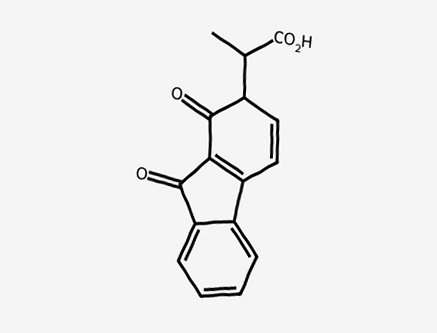 CC(C(=O)O)C1C=CC2=C(C(=O)c3ccccc32)C1=O